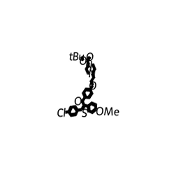 COc1ccc2c(C(=O)c3ccc(OCCN4CCN(C(=O)OC(C)(C)C)CC4)cc3)c(-c3ccc(Cl)cc3)sc2c1